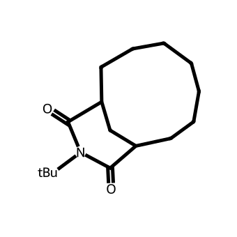 CC(C)(C)N1C(=O)C2CCCCCCCC(C2)C1=O